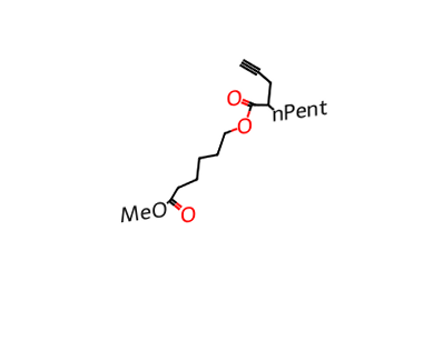 C#CCC(CCCCC)C(=O)OCCCCCC(=O)OC